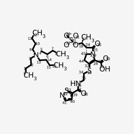 CCCC[N+](CCCC)(CCCC)CCCC.C[C@H](OS(=O)(=O)[O-])[C@@H]1C(=O)N2C(C(=O)O)=C(SCCNC(=O)c3ccns3)CC12